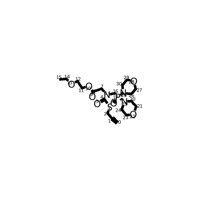 C#CCSC(=O)N(CC(=O)OCCOCC)CP(=O)(N1CCOCC1)N1CCOCC1